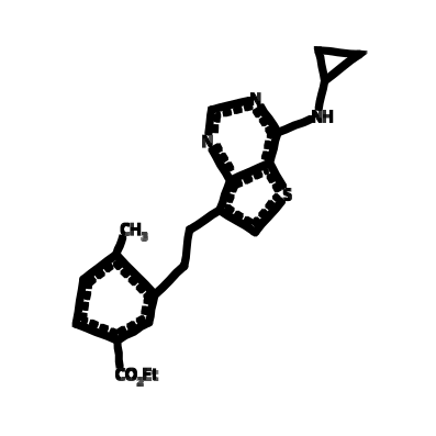 CCOC(=O)c1ccc(C)c(CCc2csc3c(NC4CC4)ncnc23)c1